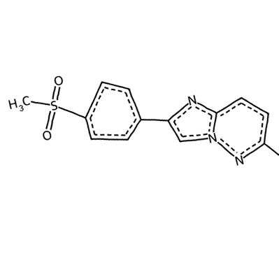 CS(=O)(=O)c1ccc(-c2cn3nc(Cl)ccc3n2)cc1